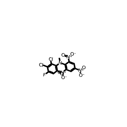 CN(c1c([N+](=O)[O-])cc([N+](=O)[O-])cc1[N+](=O)[O-])c1c(Cl)cc(F)c(Cl)c1Cl